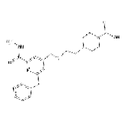 CNC(=O)c1cc(CNCCC2CCN(C(=O)O)CC2)cc(Cc2ccccc2)n1